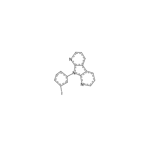 Ic1cccc(-n2c3ncccc3c3cccnc32)c1